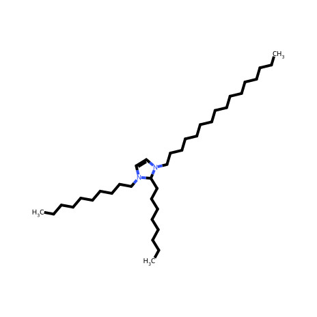 CCCCCCCCCCCCCCCCN1C=CN(CCCCCCCCCC)C1CCCCCCCC